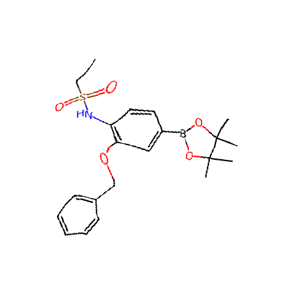 CCS(=O)(=O)Nc1ccc(B2OC(C)(C)C(C)(C)O2)cc1OCc1ccccc1